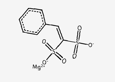 O=S(=O)([O-])C(=Cc1ccccc1)S(=O)(=O)[O-].[Mg+2]